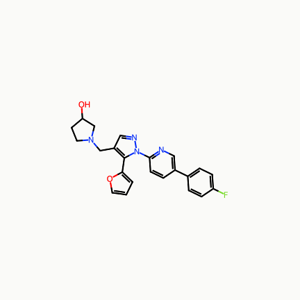 OC1CCN(Cc2cnn(-c3ccc(-c4ccc(F)cc4)cn3)c2-c2ccco2)C1